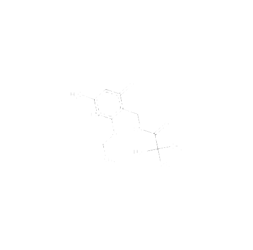 CCOc1[nH]c(C)cc(=O)c1CNC(=O)C(C)(C)C